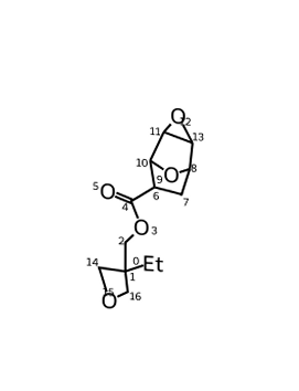 CCC1(COC(=O)C2CC3OC2C2OC32)COC1